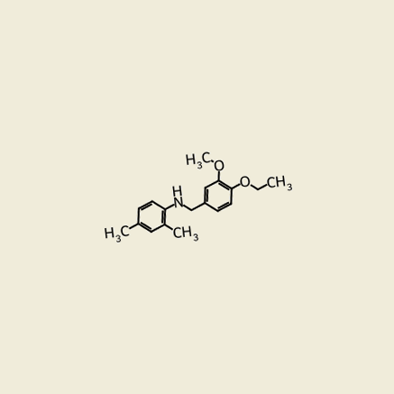 CCOc1ccc(CNc2ccc(C)cc2C)cc1OC